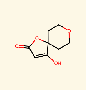 O=C1C=C(O)C2(CCOCC2)O1